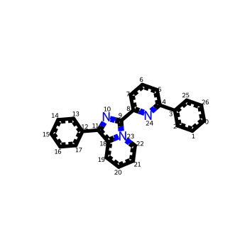 c1ccc(-c2cccc(-c3nc(-c4ccccc4)c4ccccn34)n2)cc1